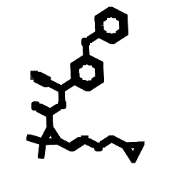 CC1(C)C(C=NOCC2CC2)C1C(=O)OC(C#N)c1cccc(Oc2ccccc2)c1